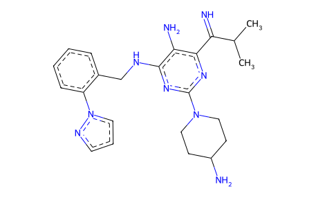 CC(C)C(=N)c1nc(N2CCC(N)CC2)nc(NCc2ccccc2-n2cccn2)c1N